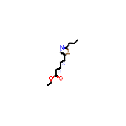 CCCc1ncc(/C=C/C=C/C(=O)OCC)s1